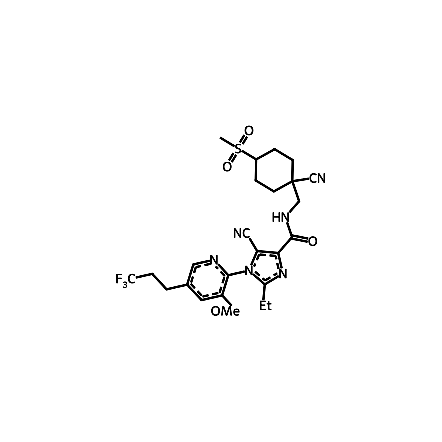 CCc1nc(C(=O)NCC2(C#N)CCC(S(C)(=O)=O)CC2)c(C#N)n1-c1ncc(CCC(F)(F)F)cc1OC